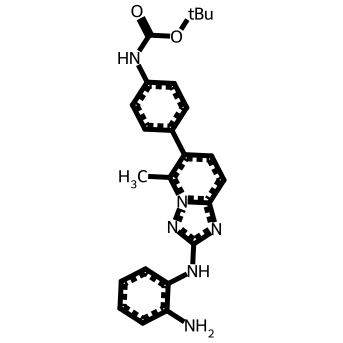 Cc1c(-c2ccc(NC(=O)OC(C)(C)C)cc2)ccc2nc(Nc3ccccc3N)nn12